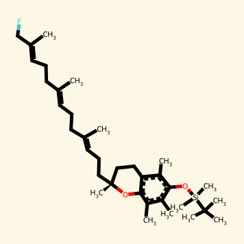 C/C(=C\CC/C(C)=C/CC/C(C)=C/CC[C@]1(C)CCc2c(C)c(O[Si](C)(C)C(C)(C)C)c(C)c(C)c2O1)CF